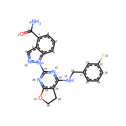 NC(=O)c1cccc2c1cnn2-c1nc(NCc2cccc(F)c2)c2c(n1)OCC2